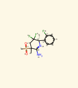 CC1(S(C)(=O)=O)CC(F)(F)[C@@](C)(c2ccccc2F)N=C1N